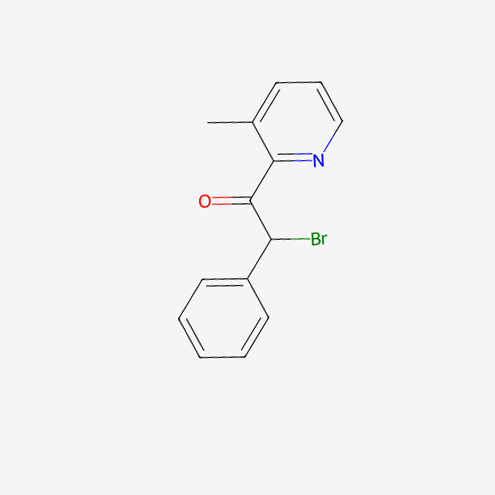 Cc1cccnc1C(=O)C(Br)c1ccccc1